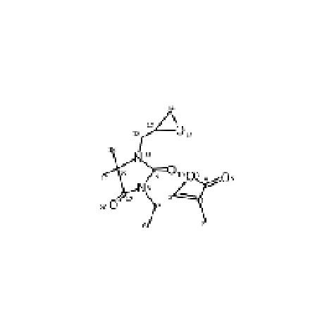 CC1=COC1=O.CCN1C(=O)N(CC2CO2)C(C)(C)C1=O